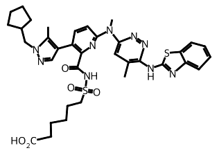 Cc1cc(N(C)c2ccc(-c3cnn(CC4CCCC4)c3C)c(C(=O)NS(=O)(=O)CCCCCC(=O)O)n2)nnc1Nc1nc2ccccc2s1